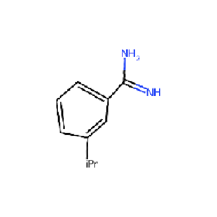 CC(C)c1cccc(C(=N)N)c1